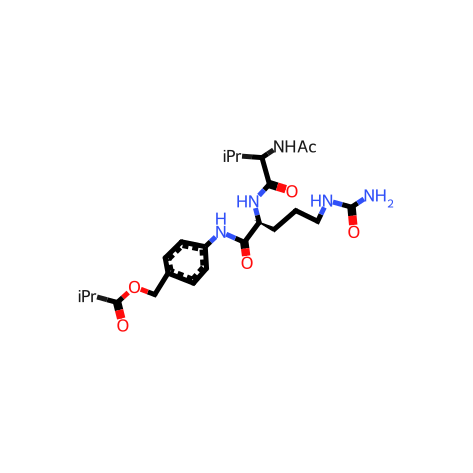 CC(=O)NC(C(=O)N[C@@H](CCCNC(N)=O)C(=O)Nc1ccc(COC(=O)C(C)C)cc1)C(C)C